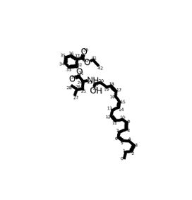 CC/C=C\C/C=C\C/C=C\C/C=C\C/C=C\C/C=C\CCC(O)NC(CC(C)C)C(=O)Oc1ccccc1C(=O)OCC